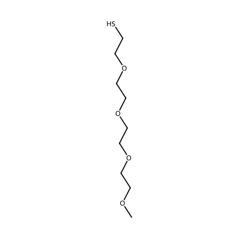 COCCOCCOCCOCCS